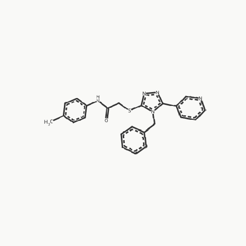 Cc1ccc(NC(=O)CSc2nnc(-c3cccnc3)n2Cc2ccccc2)cc1